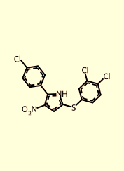 O=[N+]([O-])c1cc(Sc2ccc(Cl)c(Cl)c2)[nH]c1-c1ccc(Cl)cc1